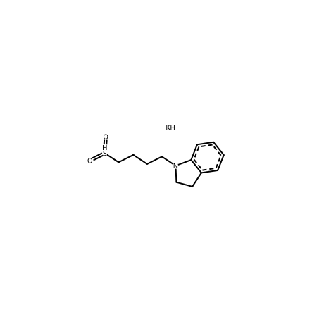 O=[SH](=O)CCCCN1CCc2ccccc21.[KH]